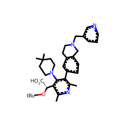 Cc1nc(C)c([C@H](OC(C)(C)C)C(=O)O)c(N2CCC(C)(C)CC2)c1-c1ccc2c(c1)CCN(Cc1cccnc1)C2